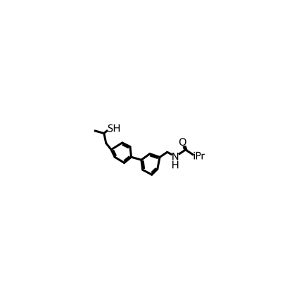 CC(S)Cc1ccc(-c2cccc(CNC(=O)C(C)C)c2)cc1